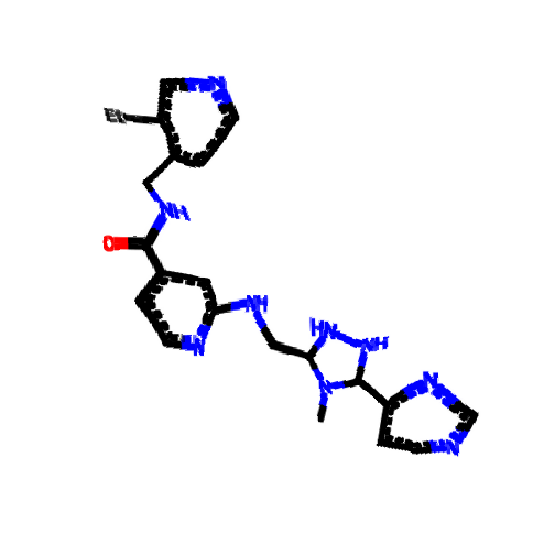 CCc1cnccc1CNC(=O)c1ccnc(NCC2NNC(c3ccncn3)N2C)c1